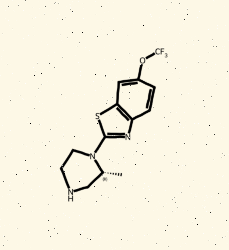 C[C@@H]1CNCCN1c1nc2ccc(OC(F)(F)F)cc2s1